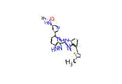 Cc1ccc(-c2cccc3[nH]c(-c4n[nH]c5ccc(-c6cncc(NC(=O)C(C)C)c6)nc45)nc23)s1